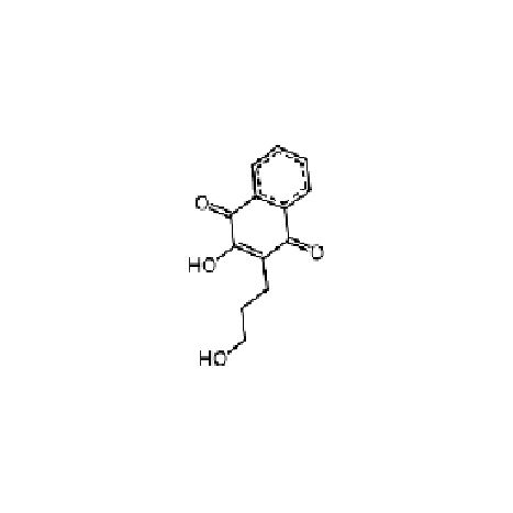 O=C1C(O)=C(CCCO)C(=O)c2ccccc21